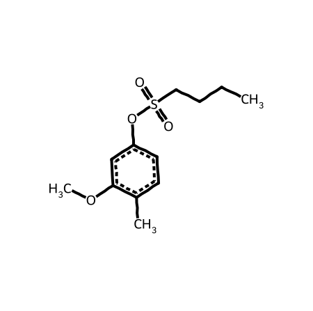 CCCCS(=O)(=O)Oc1ccc(C)c(OC)c1